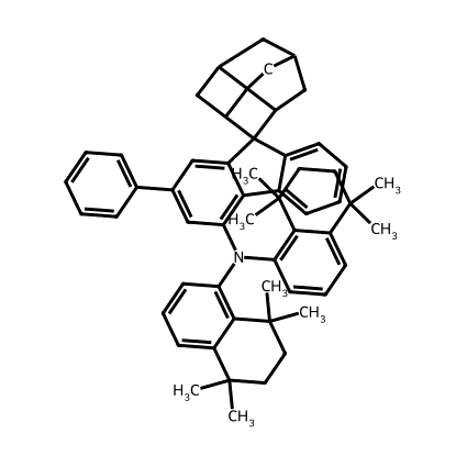 CC1(C)CCC(C)(C)c2c(N(c3cc(-c4ccccc4)cc4c3-c3ccccc3C43C4CC5CC6CC3C64C5)c3cccc4c3C(C)(C)CCC4(C)C)cccc21